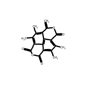 C=c1oc(=O)c2c(C)c(C)c3c4c(c(C)c(C)c1c42)C(=O)OC3=O